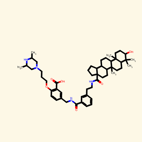 CC1CN(CCCOc2ccc(CNC(=O)c3cccc(CCNC(=O)C45CCCC4C4CCC6C(C)(CCC7C(C)(C)C(O)CCC76C)C4CC5)c3)cc2C(=O)O)CC(C)N1